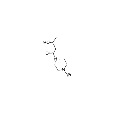 CC(O)CC(=O)N1CCN(C(C)C)CC1